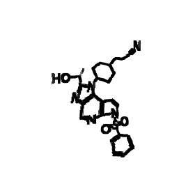 C[C@@H](O)c1nc2cnc3c(ccn3S(=O)(=O)c3ccccc3)c2n1C1CCC(CCC#N)CC1